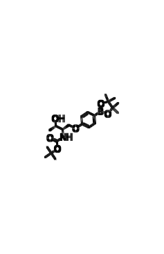 C[C@@H](O)[C@@H](COc1ccc(B2OC(C)(C)C(C)(C)O2)cc1)NC(=O)OC(C)(C)C